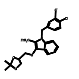 CCOC(=O)c1c(OCC2COC(C)(C)O2)c2ccccc2n1Cc1ccc(Cl)c(Cl)c1